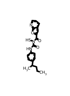 CCCC(C)c1ccc(NC(=O)N(S)C(=O)c2cc3cccnc3o2)cc1